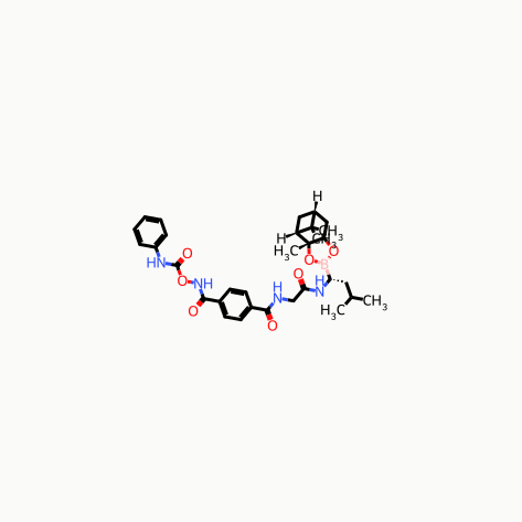 CC(C)C[C@H](NC(=O)CNC(=O)c1ccc(C(=O)NOC(=O)Nc2ccccc2)cc1)B1OC2C[C@H]3C[C@H](C3(C)C)[C@@]2(C)O1